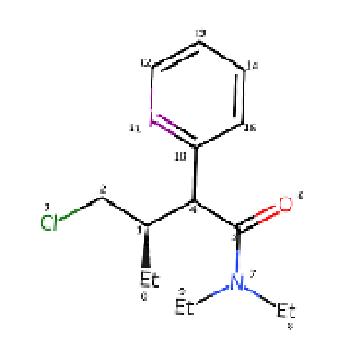 CC[C@@H](CCl)C(C(=O)N(CC)CC)C1=IC=CC=C1